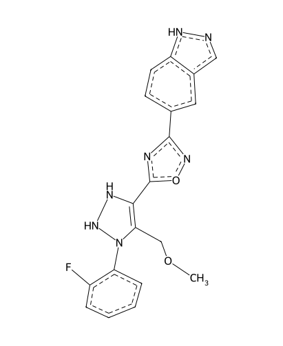 COCC1=C(c2nc(-c3ccc4[nH]ncc4c3)no2)NNN1c1ccccc1F